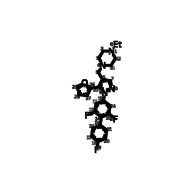 CCN1CCN(Cc2cnn(-c3cc(F)c(-c4ccc(F)cc4)c(F)c3)c2-c2ccco2)CC1